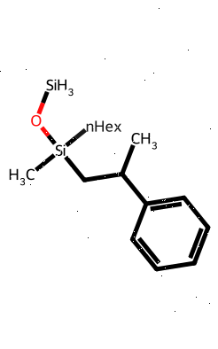 CCCCCC[Si](C)(CC(C)c1ccccc1)O[SiH3]